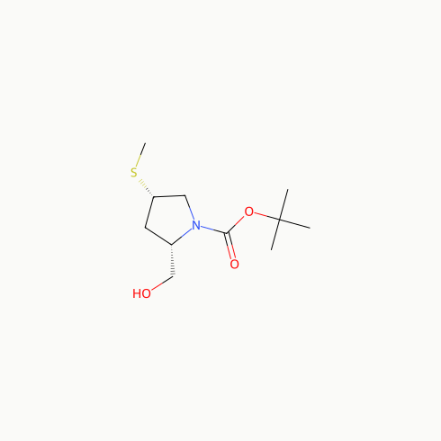 CS[C@H]1C[C@@H](CO)N(C(=O)OC(C)(C)C)C1